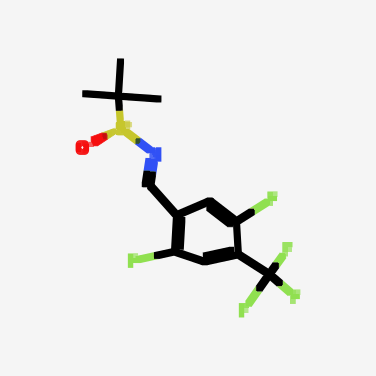 CC(C)(C)[S@+]([O-])/N=C/c1cc(F)c(C(F)(F)F)cc1F